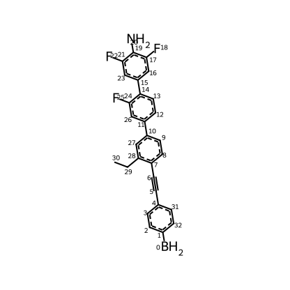 Bc1ccc(C#Cc2ccc(-c3ccc(-c4cc(F)c(N)c(F)c4)c(F)c3)cc2CC)cc1